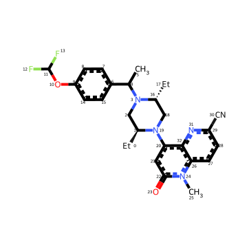 CC[C@H]1CN(C(C)c2ccc(OC(F)F)cc2)[C@H](CC)CN1c1cc(=O)n(C)c2ccc(C#N)nc12